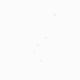 O=C(CCc1ccc(Cl)cc1Cl)N1CCN(c2ccc(C(F)(F)F)cc2CNCCc2ccccc2F)CC1